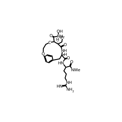 CNC(=O)C(CCCNC(=N)N)NC(=O)[C@@H]1Cc2ccc(cc2)OCCCC(C(=O)NO)[C@@H](CC(C)C)C(=O)N1